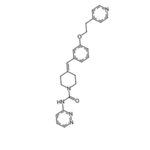 O=C(Nc1cccnn1)N1CCC(=Cc2cccc(OCCc3ccncc3)c2)CC1